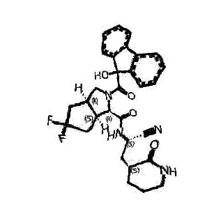 N#C[C@H](C[C@@H]1CCCNC1=O)NC(=O)[C@H]1[C@H]2CC(F)(F)C[C@H]2CN1C(=O)C1(O)c2ccccc2-c2ccccc21